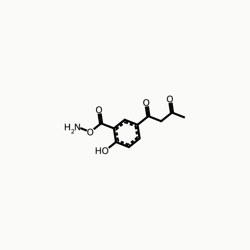 CC(=O)CC(=O)c1ccc(O)c(C(=O)ON)c1